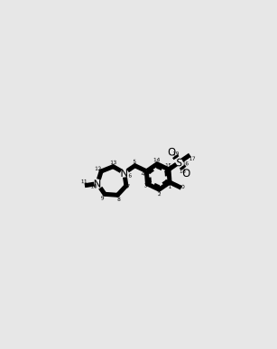 Cc1ccc(CN2CCCN(C)CC2)cc1S(C)(=O)=O